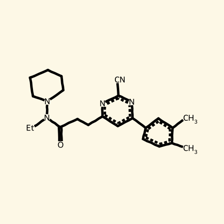 CCN(C(=O)CCc1cc(-c2ccc(C)c(C)c2)nc(C#N)n1)N1CCCCC1